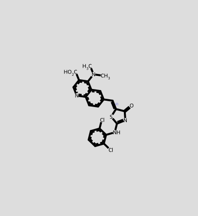 CN(C)c1c(C(=O)O)cnc2ccc(/C=C3\SC(Nc4c(Cl)cccc4Cl)=NC3=O)cc12